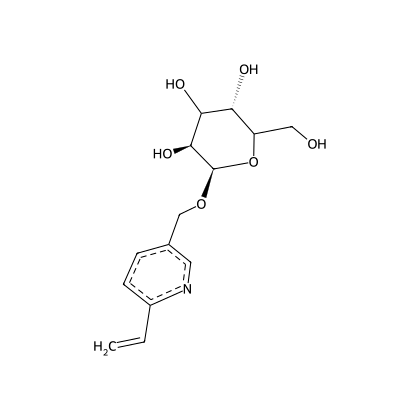 C=Cc1ccc(CO[C@@H]2OC(CO)[C@@H](O)C(O)[C@@H]2O)cn1